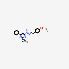 COc1ccc(CC=NNc2cc(-c3ccccc3)nc(C)n2)cc1